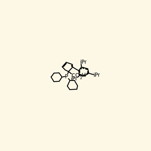 CC(C)c1cc(C(C)C)c(C2=CC=CCC2(C(=O)O)P(C2CCCCC2)C2CCCCC2)c(C(C)C)c1